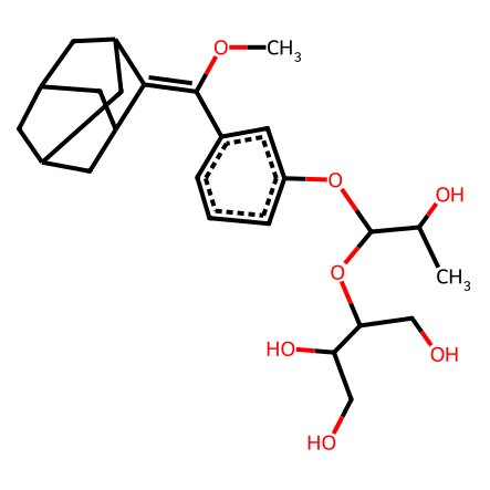 COC(=C1C2CC3CC(C2)CC1C3)c1cccc(OC(OC(CO)C(O)CO)C(C)O)c1